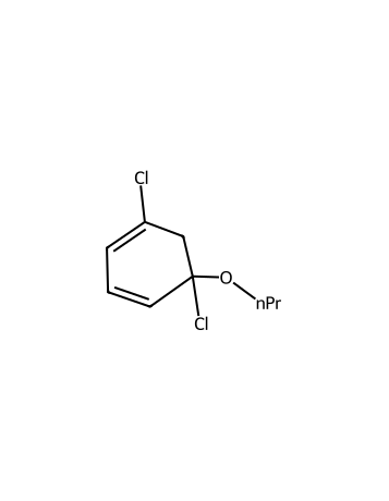 CCCOC1(Cl)C=CC=C(Cl)C1